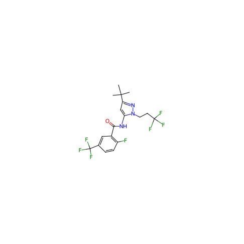 CC(C)(C)c1cc(NC(=O)c2cc(C(F)(F)F)ccc2F)n(CCC(F)(F)F)n1